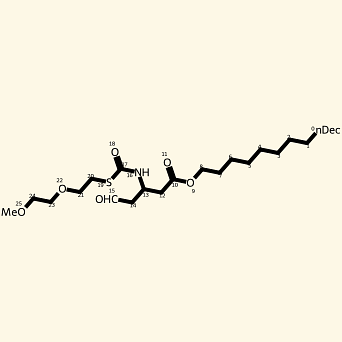 CCCCCCCCCCCCCCCCCCOC(=O)CC(CC=O)NC(=O)SCCOCCOC